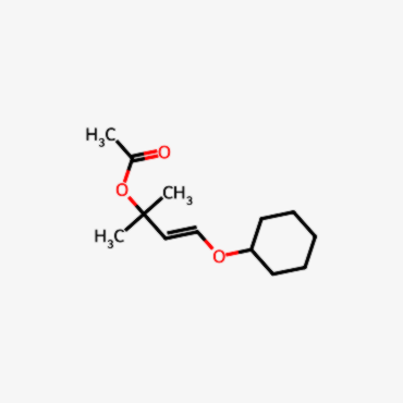 CC(=O)OC(C)(C)/C=C/OC1CCCCC1